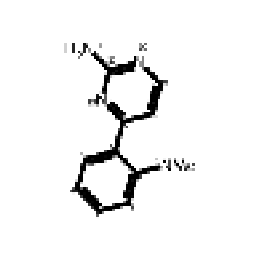 CNc1ccccc1-c1ccnc(N)n1